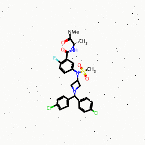 CNC(=O)[C@H](C)NC(=O)c1cc(N(C2CN(C(c3ccc(Cl)cc3)c3ccc(Cl)cc3)C2)S(C)(=O)=O)ccc1F